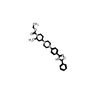 CCOC(=O)N1CCC(N2CCN(c3ccc(C4=NOC(c5ccccc5)N4)cc3)CC2)CC1C